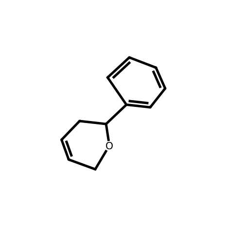 C1=CCC(c2ccccc2)OC1